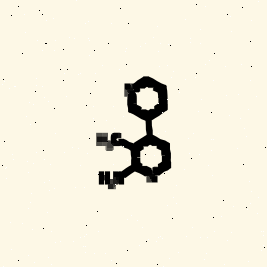 Cc1c(-c2cccnc2)ccnc1N